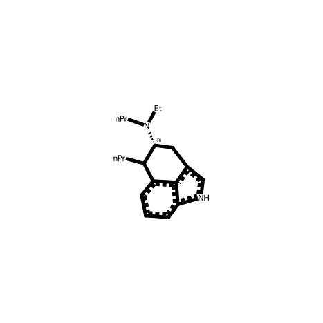 CCCC1c2cccc3[nH]cc(c23)C[C@H]1N(CC)CCC